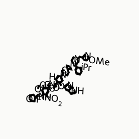 COc1ccc(CN2CCN(C3CC4(CCN(c5ccc(C(=O)NS(=O)(=O)c6cc([N+](=O)[O-])c(NCC7(F)CCOCC7)c7c6OCO7)c(Oc6cnc7[nH]ccc7c6)c5)CC4)C3)[C@H](c3ccccc3C(C)C)C2)cn1